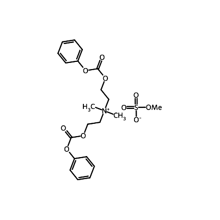 COS(=O)(=O)[O-].C[N+](C)(CCOC(=O)Oc1ccccc1)CCOC(=O)Oc1ccccc1